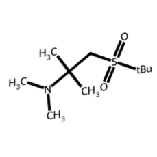 CN(C)C(C)(C)CS(=O)(=O)C(C)(C)C